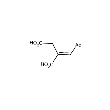 CC(=O)/C=C(\CC(=O)O)C(=O)O